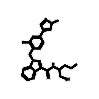 CCCC(CO)NC(=O)c1cn(Cc2ccc(-c3cnn(C)c3)cc2F)c2cccnc12